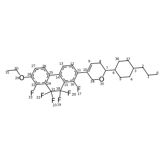 CCCC1CCC(C2CC=C(c3ccc4c(c3F)C(F)(F)C(F)(F)c3c-4ccc(OCC)c3F)CO2)CC1